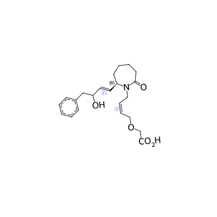 O=C(O)COC/C=C\CN1C(=O)CCCC[C@@H]1/C=C/C(O)Cc1ccccc1